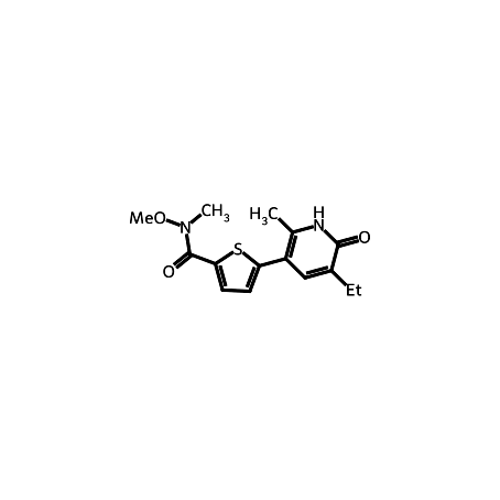 CCc1cc(-c2ccc(C(=O)N(C)OC)s2)c(C)[nH]c1=O